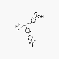 O=C(O)c1ccc(/C=C/C(CCC(F)(F)F)c2ccc(-c3ccc(C(F)(F)F)cc3)nc2)cc1